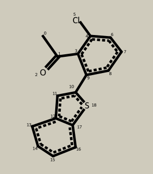 CC(=O)c1c(Cl)cccc1-c1cc2ccccc2s1